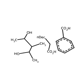 CC(O)C(C)C(C)O.CCCCCCCCCCCC(=O)O.O=C(O)c1ccccc1